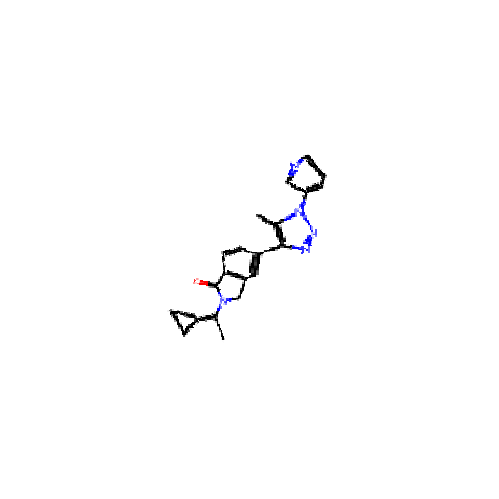 Cc1c(-c2ccc3c(c2)CN(C(C)C2CC2)C3=O)nnn1-c1cccnc1